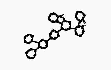 c1ccc(-c2ccc(-c3ccc(-c4cc(-c5cccc6sc7ccccc7c56)cc5sc6ccccc6c45)cc3)cc2-c2ccccc2)cc1